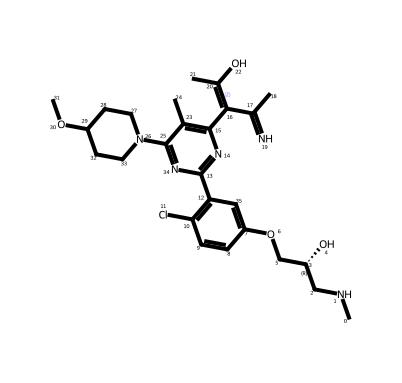 CNC[C@@H](O)COc1ccc(Cl)c(-c2nc(/C(C(C)=N)=C(\C)O)c(C)c(N3CCC(OC)CC3)n2)c1